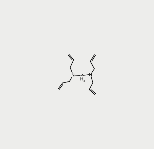 C=CCN(CC=C)[PH3]N(CC=C)CC=C